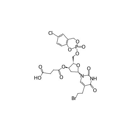 O=C(O)CCC(=O)O[C@@H]1C[C@H](n2cc(CCBr)c(=O)[nH]c2=O)O[C@@H]1COP1(=O)OCc2cc(Cl)ccc2O1